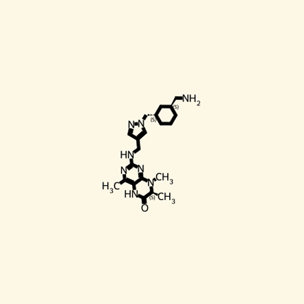 Cc1nc(NCc2cnn(C[C@H]3CCC[C@H](CN)C3)c2)nc2c1NC(=O)[C@H](C)N2C